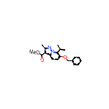 C=C(C)c1c(OCc2ccccc2)ccc2c(C(=O)OC)c(C)nn12